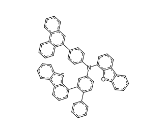 c1ccc(-c2ccc(N(c3ccc(-c4cc5ccccc5c5ccccc45)cc3)c3cccc4c3oc3ccccc34)cc2-c2cccc3c2sc2ccccc23)cc1